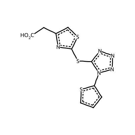 O=C(O)Cc1csc(Sc2nnnn2-c2cccs2)n1